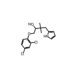 CC(C)(Cc1ccc[nH]1)C(O)COc1ccc(Cl)cc1Cl